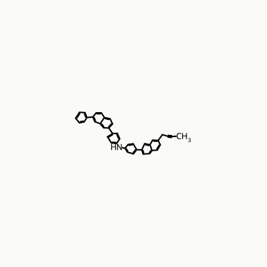 CC#CCc1ccc2ccc(-c3ccc(Nc4ccc(-c5ccc6ccc(-c7ccccc7)cc6c5)cc4)cc3)cc2c1